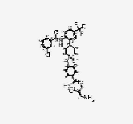 C=C(/N=C\C(Cl)=C/N)c1ccc(C[N+]2([O-])CCC(c3nc(C(F)(F)F)ccc3NC(=O)c3ccnc(Cl)c3)CC2)cc1